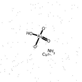 N.O=[As]([O-])([O-])O.[Cu+2]